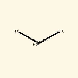 CCCCCCCCCCCCCCCCCCCCOC[C@@H](CO)OCCCCCCCCCCCCCCCCCCCC